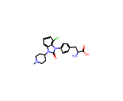 CN1CCC(n2c(=O)n(-c3ccc(CC(N)C(=O)O)cc3)c3c(Cl)cccc32)CC1